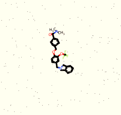 CN(C)C(=O)c1ccc(COc2ccc(CN3Cc4ccccc4C3)cc2OC(F)(F)F)cc1